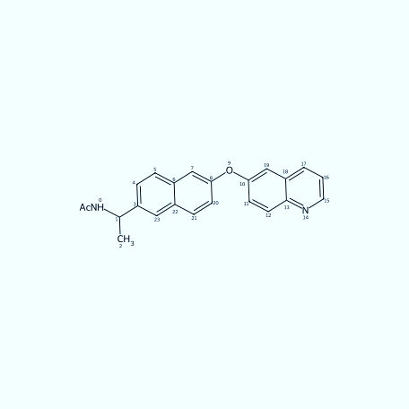 CC(=O)NC(C)c1ccc2cc(Oc3ccc4ncccc4c3)ccc2c1